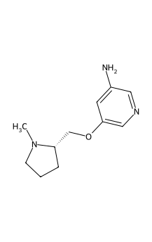 CN1CCC[C@H]1COc1cncc(N)c1